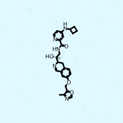 Cc1ncoc1COc1ccc2c(c1)C=NC([C@H](O)CNC(=O)c1cc(NC3CCC3)ccn1)C2